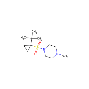 CN1CCN(S(=O)(=O)C2(C(C)(C)C)CC2)CC1